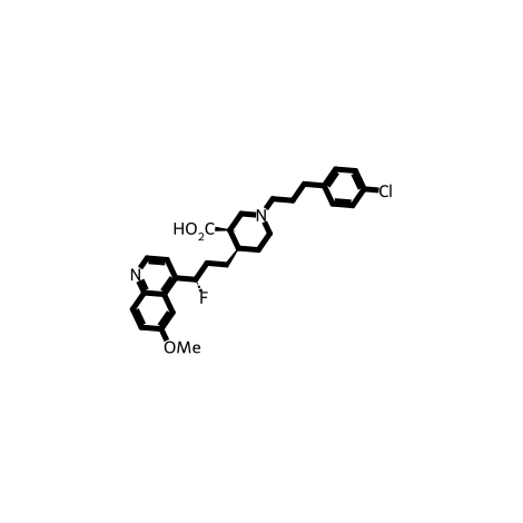 COc1ccc2nccc([C@@H](F)CC[C@@H]3CCN(CCCc4ccc(Cl)cc4)C[C@@H]3C(=O)O)c2c1